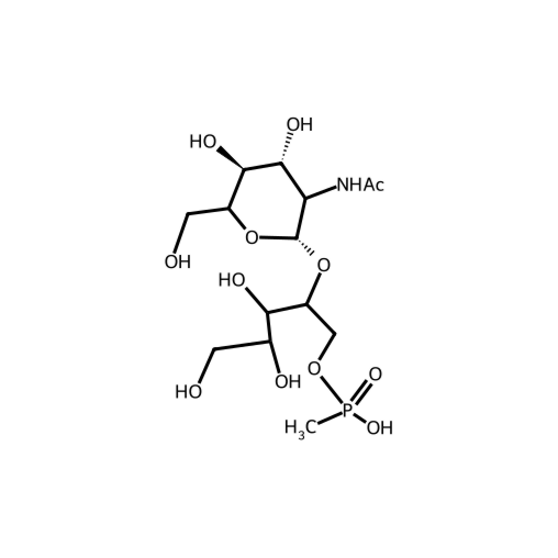 CC(=O)NC1[C@H](OC(COP(C)(=O)O)C(O)C(O)CO)OC(CO)[C@@H](O)[C@@H]1O